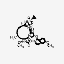 COC[C@@H]1C[C@@H](C)CC/C=C\[C@@H]2C[C@@]2(C(=O)NS(=O)(=O)C2CC2)NC(=O)[C@@H]2C[C@@H](Oc3nccc4cc(OC)ccc34)CN2C(=O)[C@H]1NC(=O)O